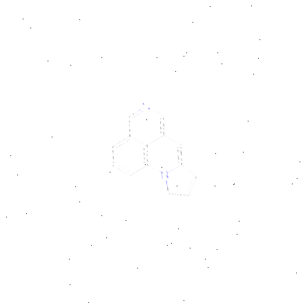 C1=CC2=Cc3cncc4cccc(c34)N2C1